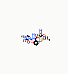 CCN1CCN(C(=O)NC(C(=O)NC2([S+](C)[O-])CNC2=O)c2ccccc2)C(=O)C1=O